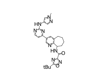 Cn1cc(Nc2nccc(-c3cnc4c(c3)CCCCC4NC(=O)c3noc(C(C)(C)C)n3)n2)cn1